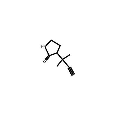 C#CC(C)(C)C1CCNC1=O